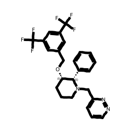 FC(F)(F)c1cc(CO[C@H]2CCCN(Cc3cccnn3)[C@H]2c2ccccc2)cc(C(F)(F)F)c1